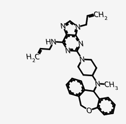 C=CCNc1nc(N2CCC(N(C)C3c4ccccc4COc4ccccc43)CC2)nc2c1ncn2CC=C